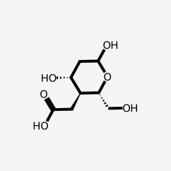 O=C(O)C[C@H]1[C@H](O)CC(O)O[C@@H]1CO